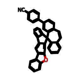 N#Cc1ccc(-c2ccc3c(c2)C2(c4ccccc4C=C3)c3ccccc3-c3cc4c(cc32)oc2ccccc24)cc1